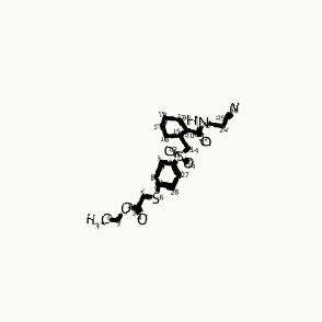 CCOC(=O)CSc1ccc(S(=O)(=O)CC2CCCCC2C(=O)NCC#N)cc1